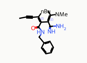 CC#C/C(CCCC)=C(C(=O)NCc1ccccc1)/C(C(=N)N)=C(\C)NC